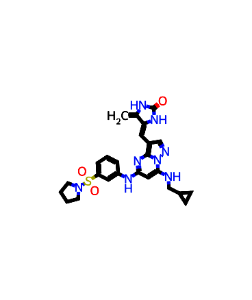 C=c1[nH]c(=O)[nH]/c1=C\c1cnn2c(NCC3CC3)cc(Nc3cccc(S(=O)(=O)N4CCCC4)c3)nc12